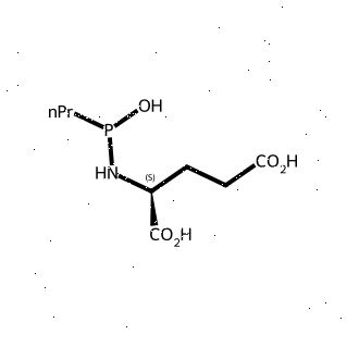 CCCP(O)N[C@@H](CCC(=O)O)C(=O)O